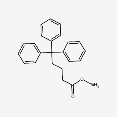 O=C(CCCC(c1ccccc1)(c1ccccc1)c1ccccc1)O[SiH3]